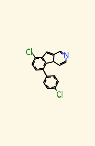 Clc1ccc(-c2ccc(Cl)c3c2C2C=CN=CC2=C3)cc1